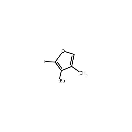 Cc1coc(I)c1C(C)(C)C